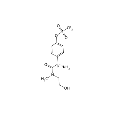 CN(CCO)C(=O)[C@@H](N)c1ccc(OS(=O)(=O)C(F)(F)F)cc1